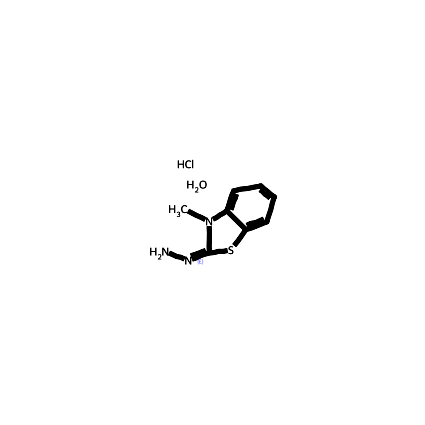 Cl.Cn1/c(=N\N)sc2ccccc21.O